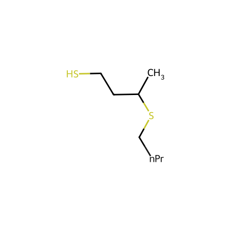 CCCCSC(C)CCS